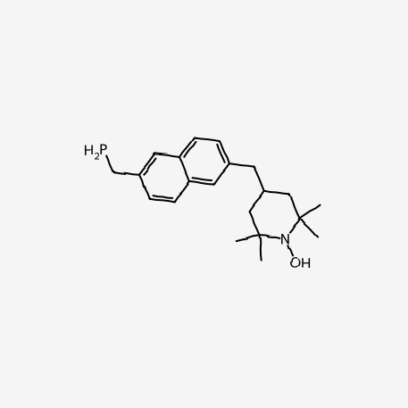 CC1(C)CC(Cc2ccc3cc(CP)ccc3c2)CC(C)(C)N1O